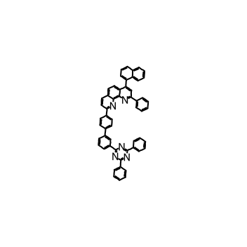 c1ccc(-c2cc(-c3cccc4ccccc34)c3ccc4ccc(-c5ccc(-c6cccc(-c7nc(-c8ccccc8)nc(-c8ccccc8)n7)c6)cc5)nc4c3n2)cc1